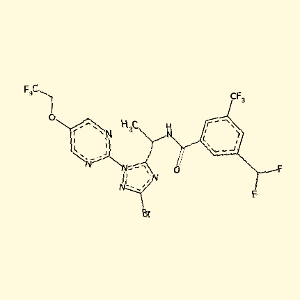 CC(NC(=O)c1cc(C(F)F)cc(C(F)(F)F)c1)c1nc(Br)nn1-c1ncc(OCC(F)(F)F)cn1